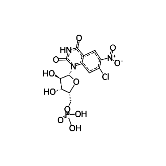 O=c1[nH]c(=O)n([C@@H]2O[C@H](COP(=O)(O)O)[C@H](O)[C@H]2O)c2cc(Cl)c([N+](=O)[O-])cc12